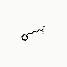 FC(F)CCCCCc1ccccc1